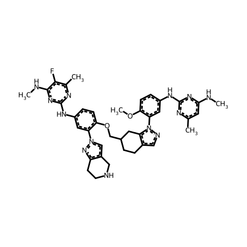 CNc1cc(C)nc(Nc2ccc(OC)c(-n3ncc4c3CC(COc3ccc(Nc5nc(C)c(F)c(NC)n5)cc3-n3cc5c(n3)CCNC5)CC4)c2)n1